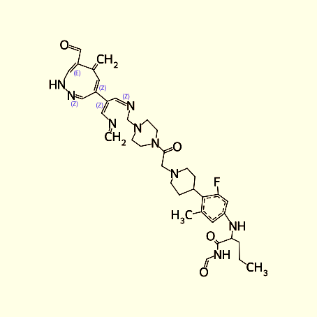 C=N/C=C(\C=N/CN1CCN(C(=O)CN2CCC(c3c(C)cc(NC(CCC)C(=O)NC=O)cc3F)CC2)CC1)C1=C/C(=C)/C(C=O)=C\N/N=C\1